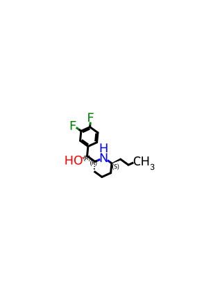 CCC[C@H]1CCC[C@H]([C@H](O)c2ccc(F)c(F)c2)N1